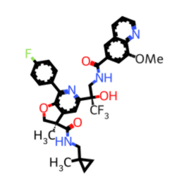 COc1cc(C(=O)NC[C@](O)(c2cc3c(c(-c4ccc(F)cc4)n2)OC[C@]3(C)C(=O)NCC2(C)CC2)C(F)(F)F)cc2cccnc12